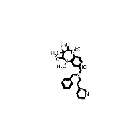 CCN1C(=O)C(C)(C)C(=O)N(C)c2cc(CN(CCc3cccnc3)Cc3ccccc3)ccc21.Cl